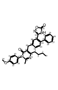 CCCCc1nc(C)n(-c2ccc(OC)cc2)c(=O)c1Cc1ccc(-c2ccccc2)c(-c2noc(=O)[nH]2)c1